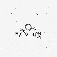 CS(=O)(=O)c1cccc(NC2=NN=C[N]2)c1